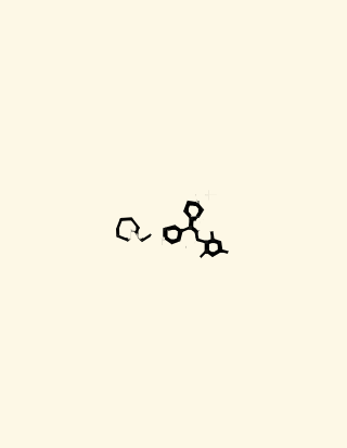 Cc1cc(C)c(C(=O)c2sc3cc(O)ccc3c2-c2ccc(OCCN3CCCCCC3)cc2)c(C)c1